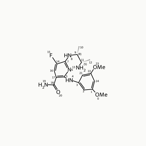 COc1cc(Nc2nc(N[C@H](C)[C@H](C)N)c(F)cc2C(N)=O)cc(OC)c1